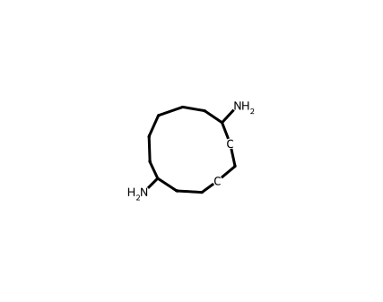 NC1CCCCCC(N)CCCCC1